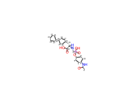 CC(=O)Nc1ccc(OP(=O)(O)CN[C@@H](Cc2ccc(-c3ccccc3)cc2)C(=O)O)cc1